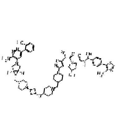 Cc1ncsc1-c1ccc([C@H](C)NC(=O)[C@@H]2C[C@@H](O)CN2C(=O)[C@@H](c2cc(N3CCC(CN4CCC(O[C@H]5C[C@H](N6CCN(C[C@@H]7[C@H]8CN(c9cc(-c%10ccccc%10O)nnc9N)C[C@@H]78)CC6)C5)CC4)CC3)no2)C(C)C)cc1